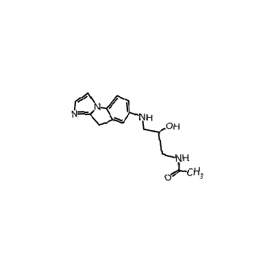 CC(=O)NC[C@H](O)CNc1ccc2c(c1)Cc1nccn1-2